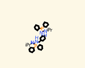 CC(C)/N=C(/NCc1cccc(/N=C(\NC(C)C)P(c2ccccc2)c2ccccc2)c1)P(c1ccccc1)c1ccccc1